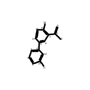 C=C(C)c1cc(-c2cccc(C)c2)ccc1C